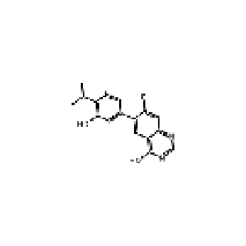 CC(C)c1ncc(-c2cc3c(O)ncnc3cc2F)cc1O